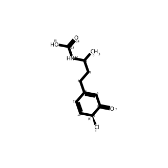 CC(CCC1=CC(=O)[C@@H](Cl)C=C1)NC(=O)O